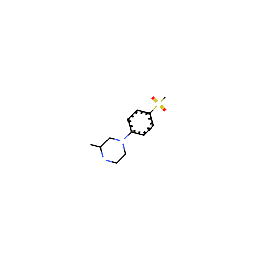 CC1CN(c2ccc(S(C)(=O)=O)cc2)CCN1